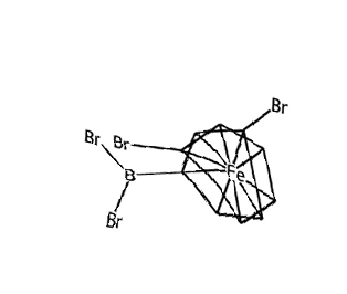 BrB(Br)[C]12[CH]3[CH]4[C]5(Br)[CH]1[Fe]43521678[CH]2[CH]1[CH]6[C]7(Br)[CH]28